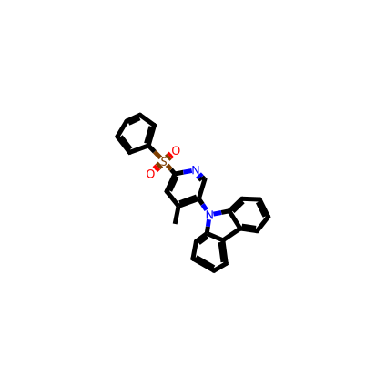 Cc1cc(S(=O)(=O)c2ccccc2)ncc1-n1c2ccccc2c2ccccc21